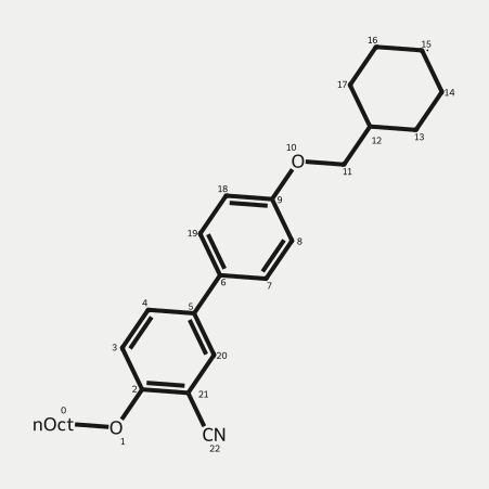 CCCCCCCCOc1ccc(-c2ccc(OCC3CC[CH]CC3)cc2)cc1C#N